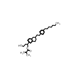 C=C(C)C(=O)OCC(CCO)c1ccc2c(c1)CCC(CCc1ccc(CCCCCCC)cc1)C2